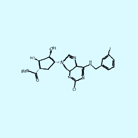 CNC(=O)[C@H]1C[C@@H](N2C=NC3C(NCc4cccc(I)c4)=NC(Cl)=NC32)[C@H](O)[C@@H]1O